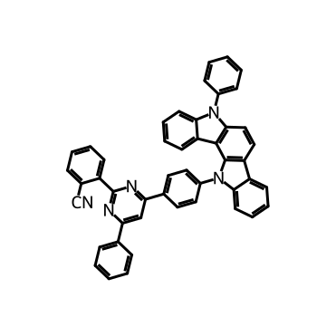 N#Cc1ccccc1-c1nc(-c2ccccc2)cc(-c2ccc(-n3c4ccccc4c4ccc5c(c6ccccc6n5-c5ccccc5)c43)cc2)n1